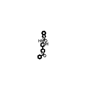 O=C(NC1C=CC(C2=CCN(C(=O)c3ccccc3)CC2)=CN1)N1Cc2ccccc2C1